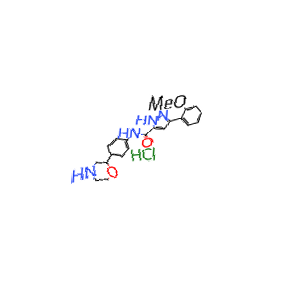 COc1ccccc1-c1cc(C(=O)Nc2ccc(C3CNCCO3)cc2)[nH]n1.Cl